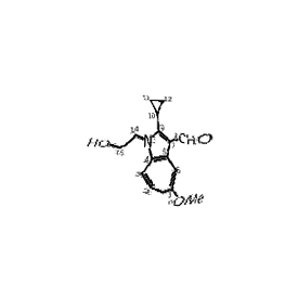 COc1ccc2c(c1)c(C=O)c(C1CC1)n2CCO